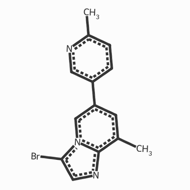 Cc1ccc(-c2cc(C)c3ncc(Br)n3c2)cn1